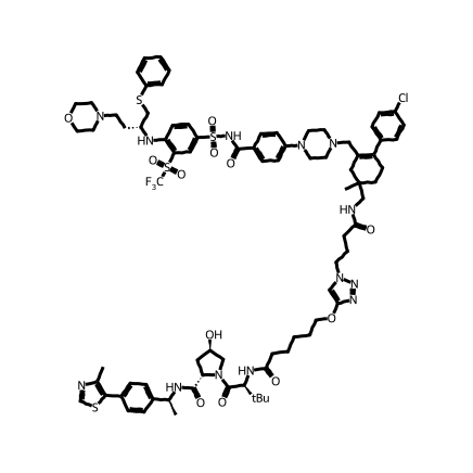 Cc1ncsc1-c1ccc([C@H](C)NC(=O)[C@@H]2C[C@@H](O)CN2C(=O)[C@@H](NC(=O)CCCCCOc2cn(CCCC(=O)NCC3(C)CCC(c4ccc(Cl)cc4)=C(CN4CCN(c5ccc(C(=O)NS(=O)(=O)c6ccc(N[C@H](CCN7CCOCC7)CSc7ccccc7)c(S(=O)(=O)C(F)(F)F)c6)cc5)CC4)C3)nn2)C(C)(C)C)cc1